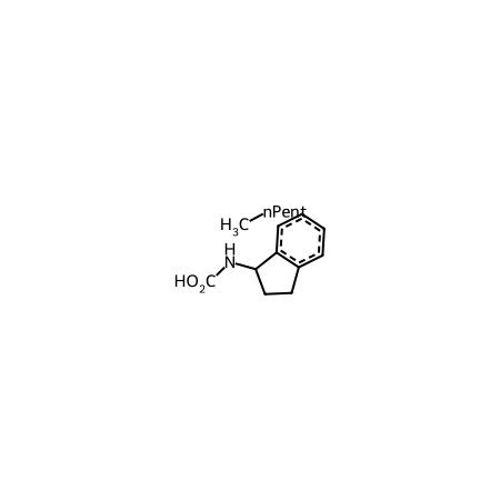 CCCCCC.O=C(O)NC1CCc2ccccc21